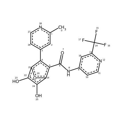 Cc1cc(-c2c(C(=O)Nc3ccnc(C(F)(F)F)c3)c3oc2c(O)c3O)ccn1